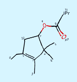 CC1=C(C)C(C)(C)C(OC(=O)C(C)C)C1